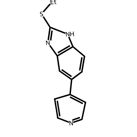 CCSc1nc2cc(-c3ccncc3)ccc2[nH]1